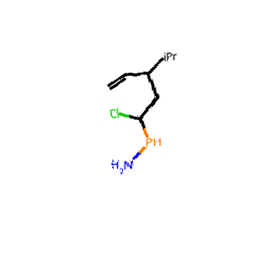 C=CC(CC(Cl)PN)C(C)C